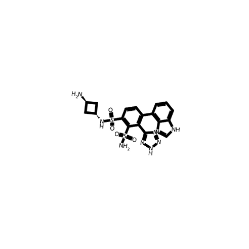 NS(=O)(=O)c1c(S(=O)(=O)N[C@H]2C[C@H](N)C2)ccc(-c2cccc3[nH]cnc23)c1-c1nn[nH]n1